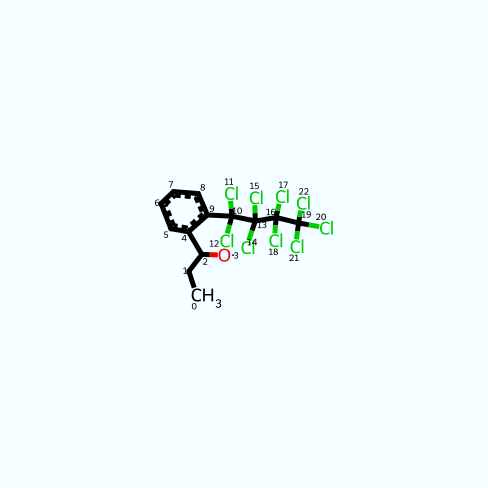 CCC([O])c1ccccc1C(Cl)(Cl)C(Cl)(Cl)C(Cl)(Cl)C(Cl)(Cl)Cl